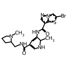 CC1NC=C(C(=O)NCC2CCCN2C)C=C1NC(=O)c1cnn2cc(Br)sc12